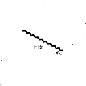 Br.CCCCCCCCCCCCCCCCCCC(C)N(C)C